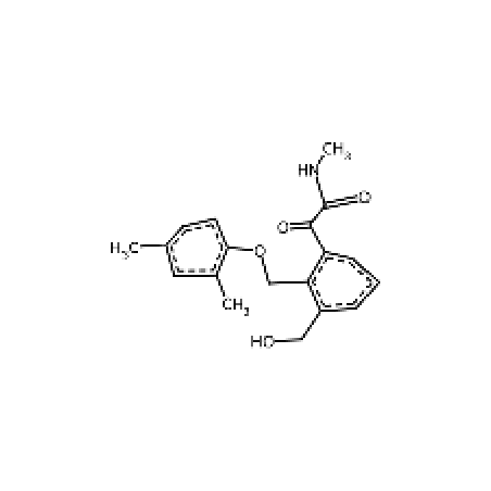 CNC(=O)C(=O)c1cccc(CO)c1COc1ccc(C)cc1C